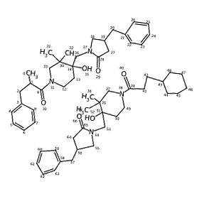 CC(Cc1ccccc1)C(=O)N1CCC(O)(CN2CC(Cc3ccccc3)CC2=O)C(C)(C)C1.CC1(C)CN(C(=O)CCC2CCCCC2)CCC1(O)CN1CC(Cc2ccccc2)CC1=O